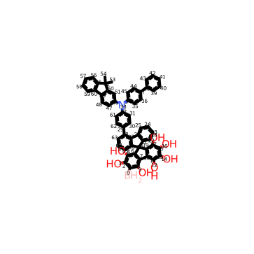 Bc1c(O)c(O)c2c(c1O)-c1c(O)c(O)c(O)c(O)c1C21c2ccccc2-c2c(-c3ccc(N(c4ccc(-c5ccccc5)cc4)c4ccc5c(c4)C(C)(C)c4ccccc4-5)cc3)cccc21